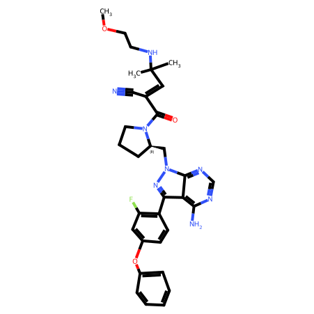 COCCNC(C)(C)C=C(C#N)C(=O)N1CCC[C@@H]1Cn1nc(-c2ccc(Oc3ccccc3)cc2F)c2c(N)ncnc21